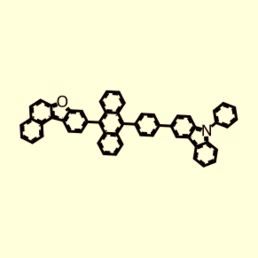 c1ccc(-n2c3ccccc3c3cc(-c4ccc(-c5c6ccccc6c(-c6ccc7c(c6)oc6ccc8ccccc8c67)c6ccccc56)cc4)ccc32)cc1